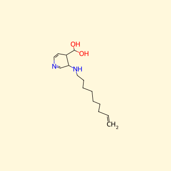 C=CCCCCCCCNC1C=NC=CC1C(O)O